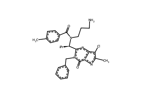 Cc1ccc(C(=O)N(CCCN)[C@@H](c2nc3c(Cl)c(C)nn3c(=O)n2Cc2ccccc2)C(C)C)cc1